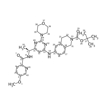 COc1ccc(C(=O)N[C@@H](C)c2cc(Nc3ccc4c(c3)CCN(C(=O)OC(C)(C)C)C4)nc(N3CCOCC3)n2)nc1